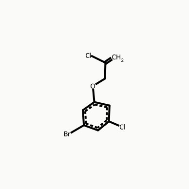 C=C(Cl)COc1cc(Cl)cc(Br)c1